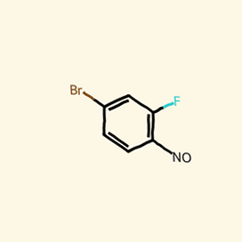 O=Nc1ccc(Br)cc1F